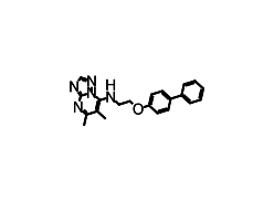 Cc1nc2ncnn2c(NCCOc2ccc(-c3ccccc3)cc2)c1C